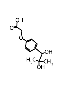 CC(C)(O)C(O)c1ccc(OCC(=O)O)cc1